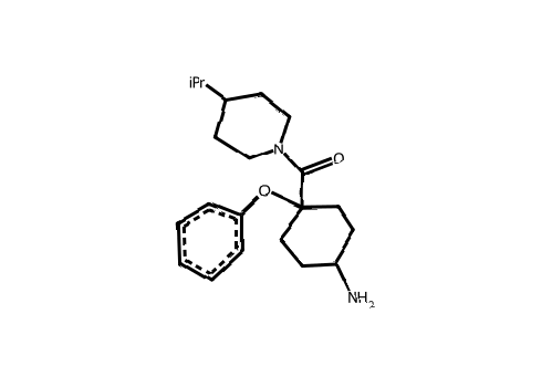 CC(C)C1CCN(C(=O)C2(Oc3ccccc3)CCC(N)CC2)CC1